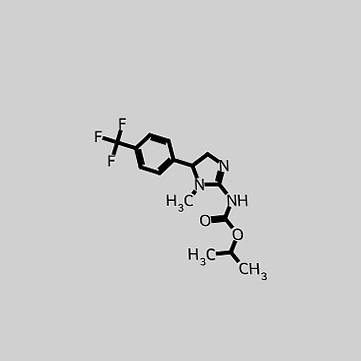 CC(C)OC(=O)NC1=NCC(c2ccc(C(F)(F)F)cc2)N1C